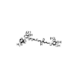 Nc1ncnc2c1ncn2[C@@H]1O[C@H](CO)[C@@H](O)[C@H]1OCOCCOCCNC(=O)CCCCO[C@@H]1C[C@H](O)[C@H](O)[C@H](CO)O1